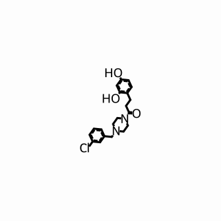 O=C(CCc1ccc(O)cc1O)N1CCN(Cc2cccc(Cl)c2)CC1